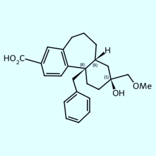 COC[C@]1(O)CC[C@]2(Cc3ccccc3)c3ccc(C(=O)O)cc3CCC[C@@H]2C1